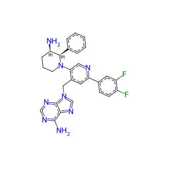 Nc1ncnc2c1ncn2Cc1cc(-c2ccc(F)c(F)c2)ncc1N1CCC[C@@H](N)[C@H]1c1ccccc1